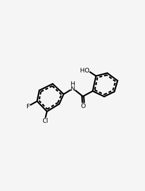 O=C(Nc1ccc(F)c(Cl)c1)c1ccccc1O